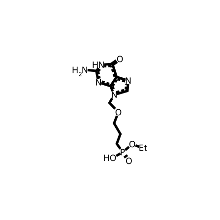 CCOP(=O)(O)CCCOCn1cnc2c(=O)[nH]c(N)nc21